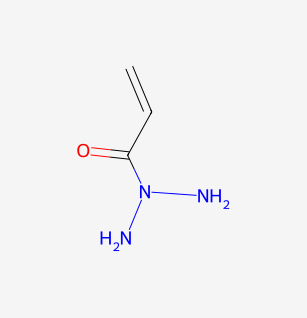 C=CC(=O)N(N)N